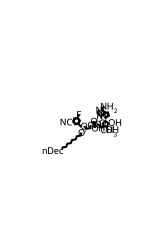 CCCCCCCCCCCCCCCCCCOC[C@@H](COP(=O)(O)OC[C@@]1(C)O[C@@H](c2ccc3c(N)ncnn23)[C@H](O)[C@@H]1O)OCc1cc(F)cc(C#N)c1